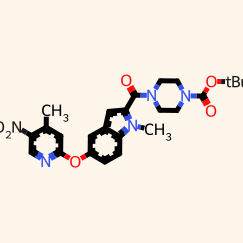 Cc1cc(Oc2ccc3c(c2)cc(C(=O)N2CCN(C(=O)OC(C)(C)C)CC2)n3C)ncc1[N+](=O)[O-]